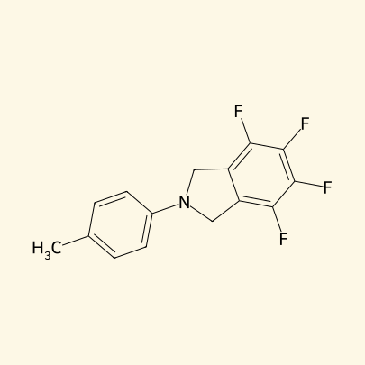 Cc1ccc(N2Cc3c(F)c(F)c(F)c(F)c3C2)cc1